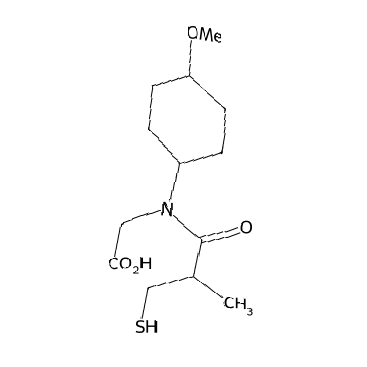 COC1CCC(N(CC(=O)O)C(=O)C(C)CS)CC1